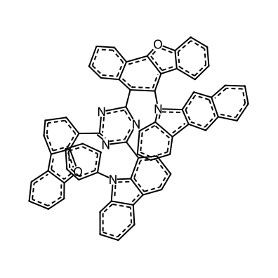 c1ccc(-n2c3ccccc3c3cccc(-c4nc(-c5c(-n6c7ccccc7c7cc8ccccc8cc76)c6c7ccccc7oc6c6ccccc56)nc(-c5cccc6c5oc5ccccc56)n4)c32)cc1